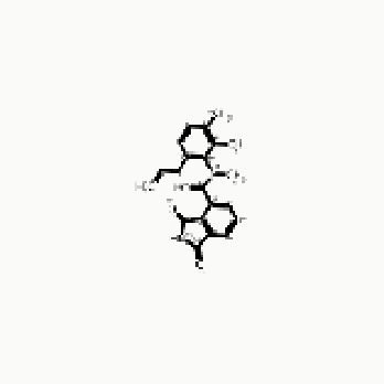 C=CCc1ccc(C)c(C)c1N(C)C(=O)c1cccc2c1C(=O)NC2=O